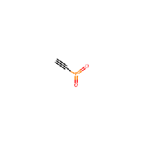 C#CP(=O)=O